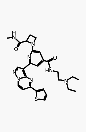 CCN(CC)CCNC(=O)c1cc(-c2cnn3ccc(-c4cccs4)nc23)nc(N2CCC2C(=O)NC)c1